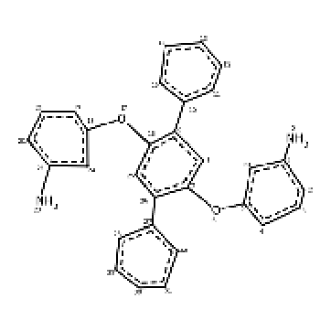 Nc1cccc(Oc2cc(-c3ccccc3)c(Oc3cccc(N)c3)cc2-c2ccccc2)c1